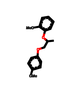 COc1ccc(OCC(C)Oc2ccccc2OC)cc1